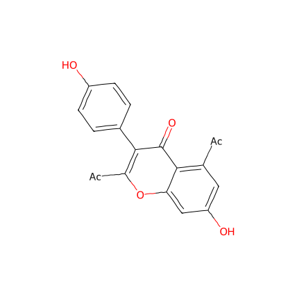 CC(=O)c1oc2cc(O)cc(C(C)=O)c2c(=O)c1-c1ccc(O)cc1